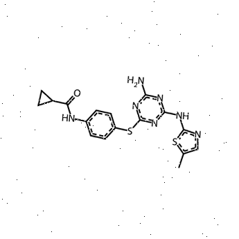 Cc1cnc(Nc2nc(N)nc(Sc3ccc(NC(=O)C4CC4)cc3)n2)s1